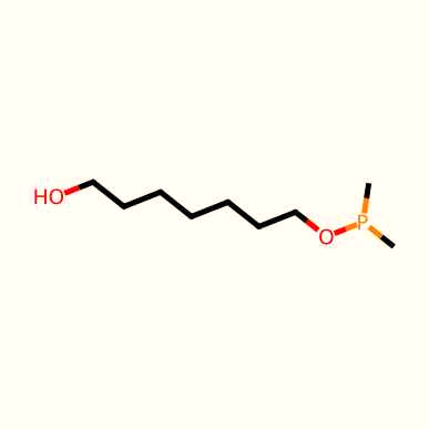 CP(C)OCCCCCCCO